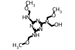 COCNc1nc(NCOC)nc(N(CO)COC)n1